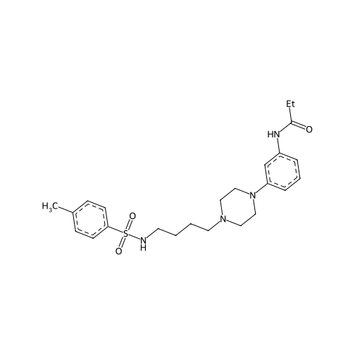 CCC(=O)Nc1cccc(N2CCN(CCCCNS(=O)(=O)c3ccc(C)cc3)CC2)c1